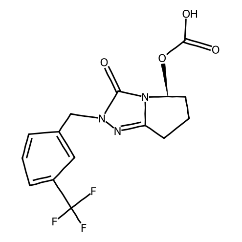 O=C(O)O[C@H]1CCCc2nn(Cc3cccc(C(F)(F)F)c3)c(=O)n21